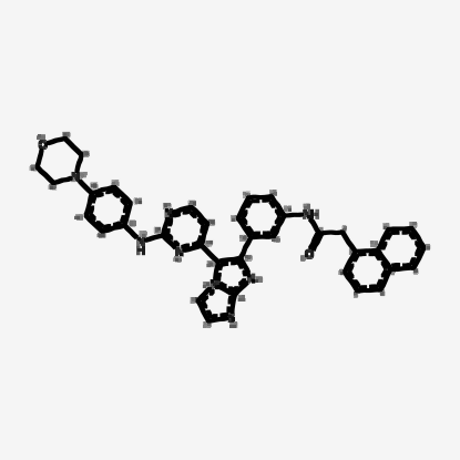 O=C(Cc1cccc2ccccc12)Nc1cccc(-c2nc3sccn3c2-c2ccnc(Nc3ccc(N4CCOCC4)cc3)n2)c1